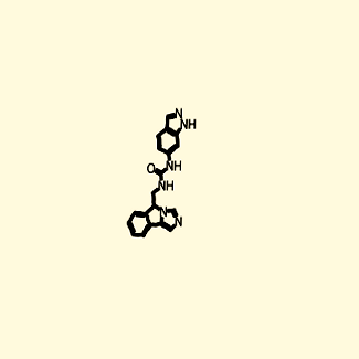 O=C(NCC1c2ccccc2-c2cncn21)Nc1ccc2cn[nH]c2c1